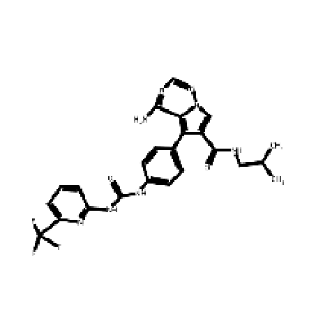 CC(C)CNC(=O)c1cn2ncnc(N)c2c1-c1ccc(NC(=O)Nc2cccc(C(F)(F)F)n2)cc1